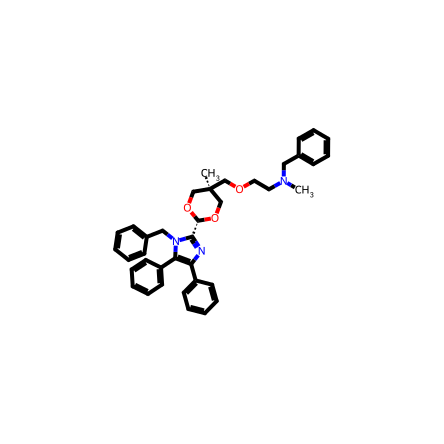 CN(CCOC[C@]1(C)CO[C@@H](c2nc(-c3ccccc3)c(-c3ccccc3)n2Cc2ccccc2)OC1)Cc1ccccc1